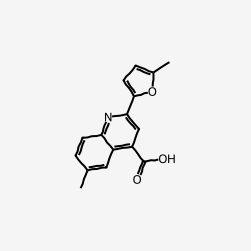 Cc1ccc2nc(-c3ccc(C)o3)cc(C(=O)O)c2c1